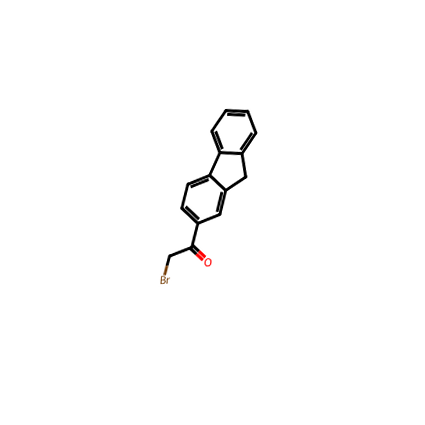 O=C(CBr)c1ccc2c(c1)Cc1ccccc1-2